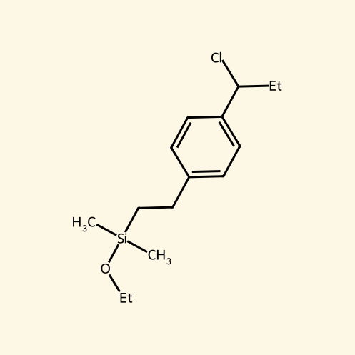 CCO[Si](C)(C)CCc1ccc(C(Cl)CC)cc1